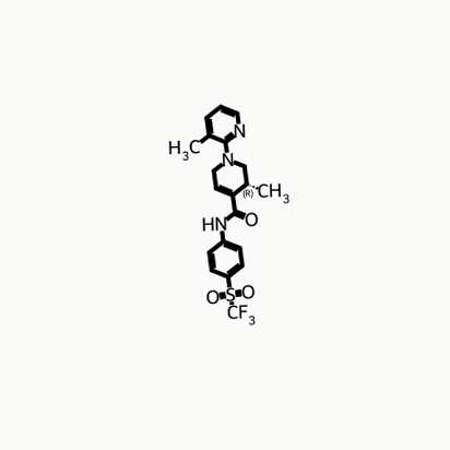 Cc1cccnc1N1CC=C(C(=O)Nc2ccc(S(=O)(=O)C(F)(F)F)cc2)[C@@H](C)C1